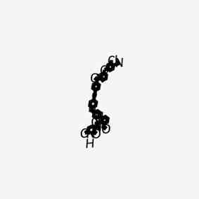 CN(C(=O)c1c(C=O)cccc1N1CCC(CN2CCC(C#Cc3ccc(C(=O)N4CCCC(Oc5ccc(C#N)c(Cl)c5)C4)cc3)CC2)CC1)C1CCC(=O)NC1=O